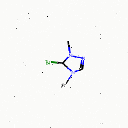 CC(C)N1C=NN(C)C1Br